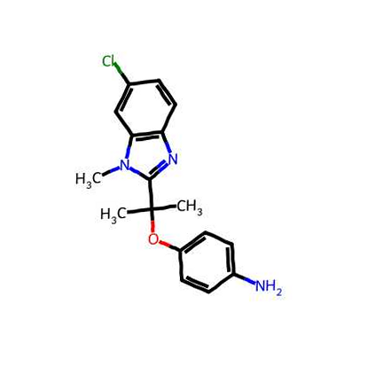 Cn1c(C(C)(C)Oc2ccc(N)cc2)nc2ccc(Cl)cc21